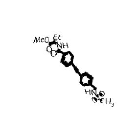 CC[C@H](NC(=O)c1ccc(C#Cc2ccc(CNS(C)(=O)=O)cc2)cc1)C(=O)OC